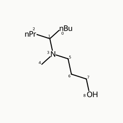 CCCCC(CCC)N(C)CCCO